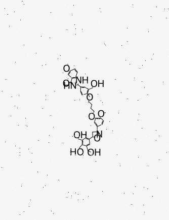 COc1ccc2c(c1)C(=O)NC(c1ccc(OCCCCOc3cc(C4=NOC(c5cc(CO)c(CO)c(CO)c5)C4)ccc3OC)c(CO)c1)N2